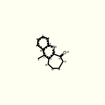 Cc1c2c(nc3ccccc13)C(=O)CCCC2